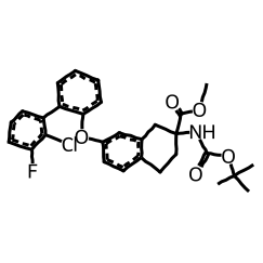 COC(=O)C1(NC(=O)OC(C)(C)C)CCc2ccc(Oc3ccccc3-c3cccc(F)c3Cl)cc2C1